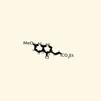 CCOC(=O)/C=C/c1cnc2nc(OC)ccc2c1Cl